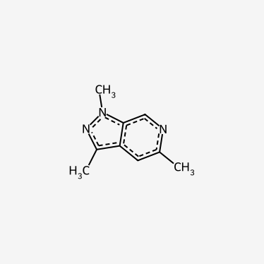 Cc1cc2c(C)nn(C)c2cn1